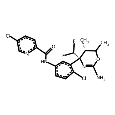 CC1OC(N)=N[C@](c2cc(NC(=O)c3ccc(Cl)cn3)ccc2Cl)(C(F)F)[C@@H]1C